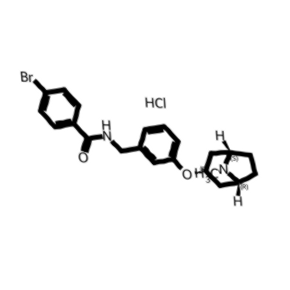 CN1[C@@H]2CC[C@H]1C[C@@H](Oc1cccc(CNC(=O)c3ccc(Br)cc3)c1)C2.Cl